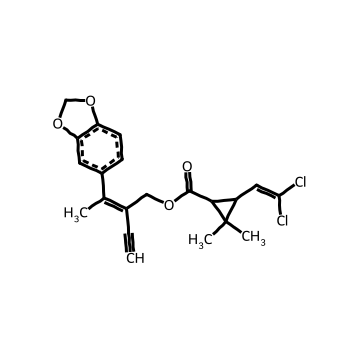 C#CC(COC(=O)C1C(C=C(Cl)Cl)C1(C)C)=C(C)c1ccc2c(c1)OCO2